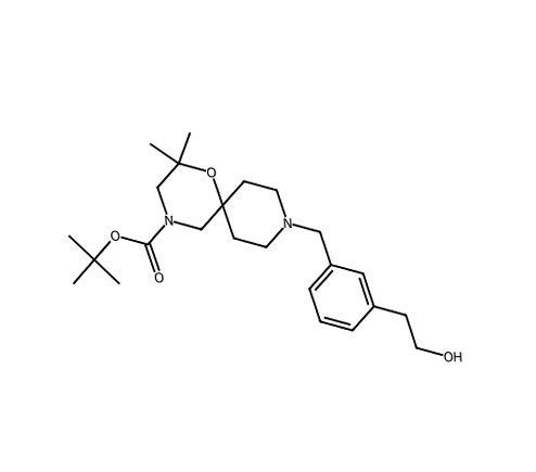 CC(C)(C)OC(=O)N1CC(C)(C)OC2(CCN(Cc3cccc(CCO)c3)CC2)C1